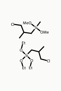 CCO[Si](CC(C)CCl)(OCC)OCC.CO[Si](C)(CC(C)CCl)OC